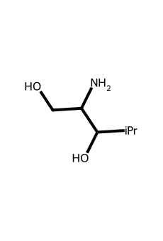 CC(C)C(O)C(N)CO